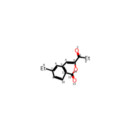 CCC(=O)c1cc2cc(CC)ccc2c(=O)o1